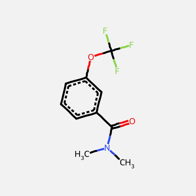 CN(C)C(=O)c1cccc(OC(F)(F)F)c1